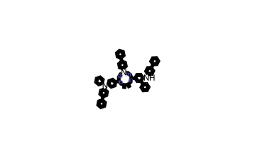 C=C1/C=C(C2=CC(c3ccccc3)C(Nc3ccc(-c4ccccc4)cc3)C=C2)\C=C/N(c2ccc(-c3ccccc3)cc2)/C=C\C(C2=CC=C(N(c3ccc(-c4ccccc4)cc3)C3C=CC=CC3)CC2)=C/C1=C